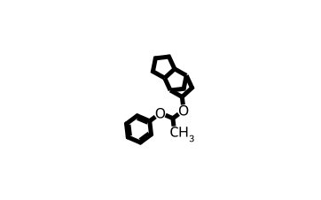 CC(Oc1ccccc1)OC1CC2CC1C1CCCC21